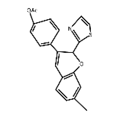 CC(=O)Oc1ccc(C2=Cc3ccc(C)cc3OC2c2nccs2)cc1